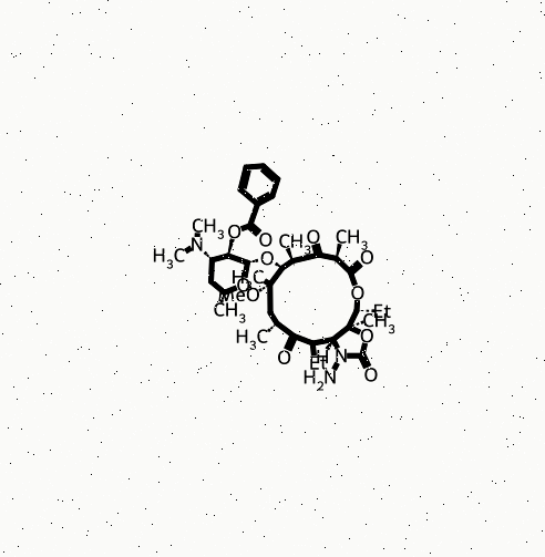 CCC1C(=O)[C@H](C)C[C@](C)(OC)[C@H](O[C@@H]2O[C@H](C)C[C@H](N(C)C)[C@H]2OC(=O)c2ccccc2)[C@@H](C)C(=O)[C@@H](C)C(=O)O[C@H](CC)[C@@]2(C)OC(=O)N(N)[C@H]12